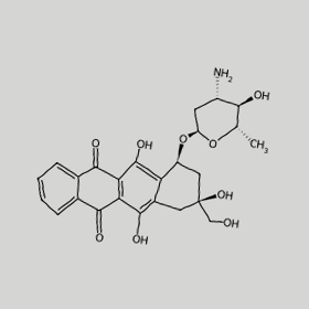 C[C@@H]1O[C@@H](O[C@H]2C[C@](O)(CO)Cc3c(O)c4c(c(O)c32)C(=O)c2ccccc2C4=O)C[C@H](N)[C@H]1O